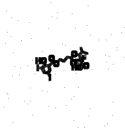 CC(C)C(OC(=O)CCCOC(=O)c1cc(I)cc(I)c1O)C(F)(F)C(=O)O